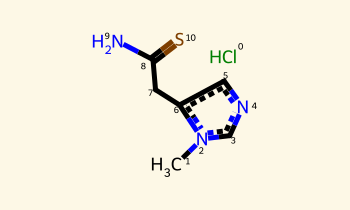 Cl.Cn1cncc1CC(N)=S